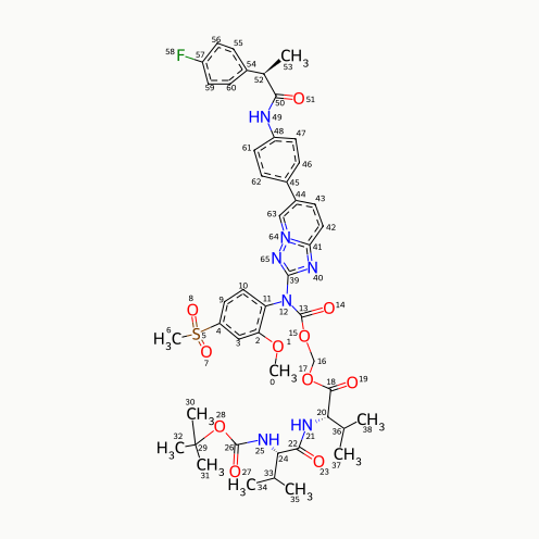 COc1cc(S(C)(=O)=O)ccc1N(C(=O)OCOC(=O)[C@@H](NC(=O)[C@@H](NC(=O)OC(C)(C)C)C(C)C)C(C)C)c1nc2ccc(-c3ccc(NC(=O)[C@H](C)c4ccc(F)cc4)cc3)cn2n1